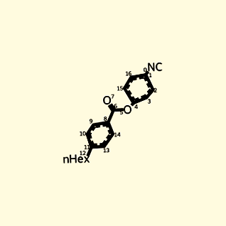 [C-]#[N+]c1ccc(OC(=O)c2ccc(CCCCCC)cc2)cc1